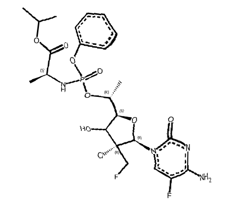 CC(C)OC(=O)[C@H](C)NP(=O)(Oc1ccccc1)O[C@H](C)[C@H]1O[C@@H](n2cc(F)c(N)nc2=O)[C@@](Cl)(CF)C1O